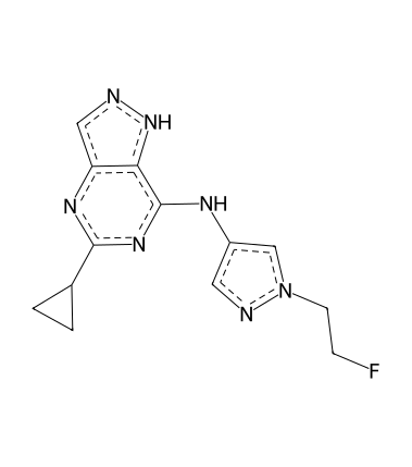 FCCn1cc(Nc2nc(C3CC3)nc3cn[nH]c23)cn1